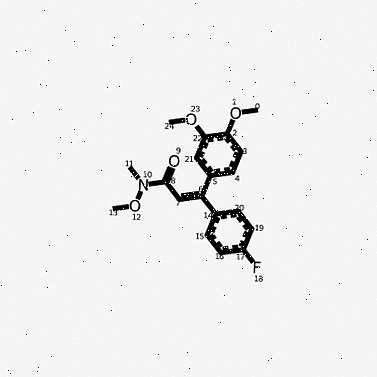 COc1ccc(/C(=C\C(=O)N(C)OC)c2ccc(F)cc2)cc1OC